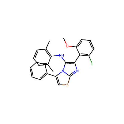 COc1cccc(F)c1-c1nc2scc(C3=CC=CCC3)n2c1Nc1c(C)cccc1C